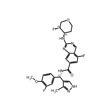 COc1ccc([C@H](NC(=O)c2cc(F)c3cnc(N[C@@H]4CCOC[C@@H]4F)nc3c2)c2c[nH]nc2C)cc1F